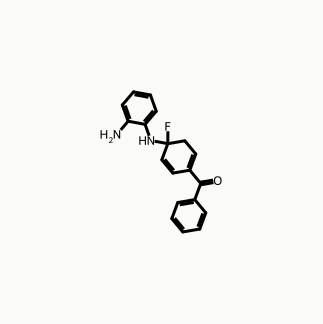 Nc1ccccc1NC1(F)C=CC(C(=O)c2ccccc2)=CC1